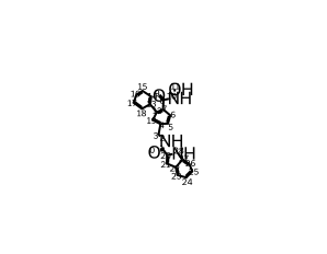 O=C(NCc1ccc(C(=O)NO)c(-c2ccccc2)c1)c1cc2ccccc2[nH]1